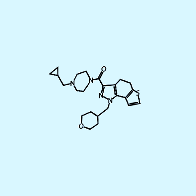 O=C(c1nn(CC2CCOCC2)c2c1CCc1sccc1-2)N1CCN(CC2CC2)CC1